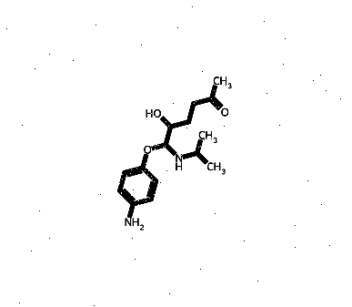 CC(=O)CCC(O)C(NC(C)C)Oc1ccc(N)cc1